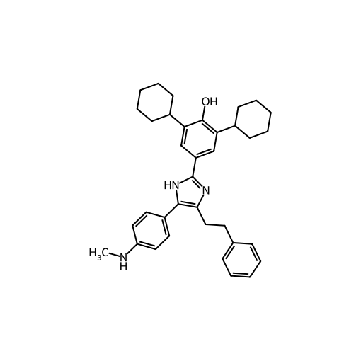 CNc1ccc(-c2[nH]c(-c3cc(C4CCCCC4)c(O)c(C4CCCCC4)c3)nc2CCc2ccccc2)cc1